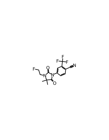 CC1(C)C(=O)N(c2ccc(C#N)c(C(F)(F)F)c2)C(=O)N1CCF